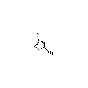 C#Cc1cc(CC)on1